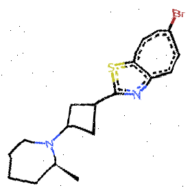 C[C@H]1CCCCN1C1CC(c2nc3ccc(Br)cc3s2)C1